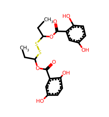 CCC(OC(=O)c1cc(O)ccc1O)SSC(CC)OC(=O)c1cc(O)ccc1O